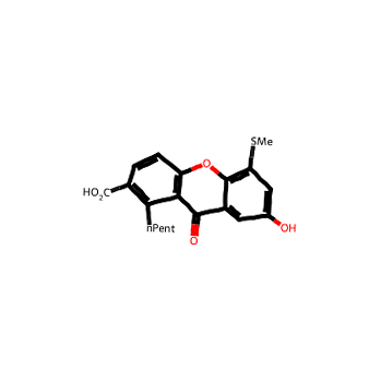 CCCCCc1c(C(=O)O)ccc2oc3c(SC)cc(O)cc3c(=O)c12